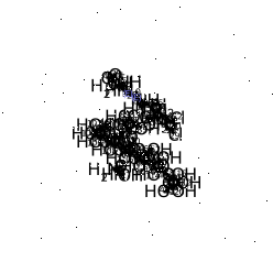 CC(/C=N/NC(=N)N)=N\NC(=N)N.NC(=O)NO.O=C(O)c1nn(Cc2ccc(Cl)cc2Cl)c2ccccc12.O=[N+]([O-])O.OC[C@H]1O[C@@H](OC[C@H]2O[C@@H](O)[C@H](O)[C@@H](O[C@@H]3O[C@H](CO)[C@@H](O)[C@H](O[C@@H]4O[C@H](CO)[C@@H](O)[C@H](O[C@@H]5O[C@H](CO[C@@H]6O[C@H](CO)[C@@H](O)[C@H](O)[C@H]6O)[C@@H](O)[C@H](O[C@@H]6O[C@H](CO)[C@@H](O)[C@H](O)[C@H]6O)[C@H]5O)[C@H]4O)[C@H]3O)[C@@H]2O)[C@H](O)[C@@H](O)[C@@H]1O